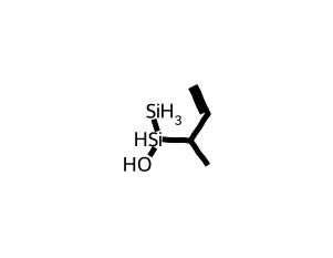 C=CC(C)[SiH](O)[SiH3]